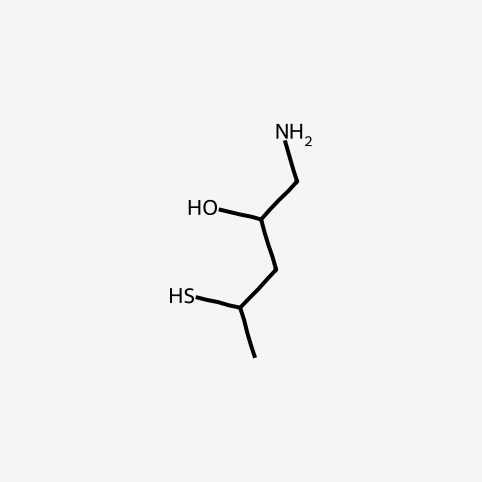 CC(S)CC(O)CN